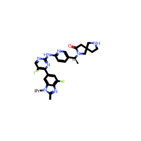 Cc1nc2c(F)cc(-c3nc(Nc4ccc([C@H](C)N5CC6(CCNC6)CC5=O)cn4)ncc3F)cc2n1C(C)C